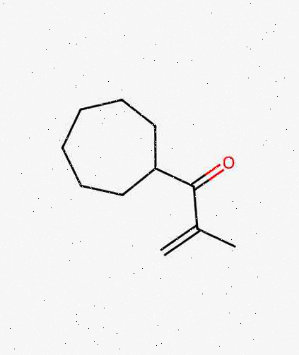 C=C(C)C(=O)C1CCCCCC1